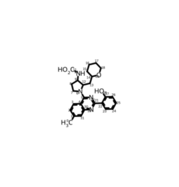 Cc1ccc2c(N3CCC(NC(=O)O)C3CC3CCCCO3)nc(-c3ccccc3O)nc2c1